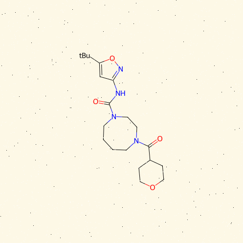 CC(C)(C)c1cc(NC(=O)N2CCCCN(C(=O)C3CCOCC3)CC2)no1